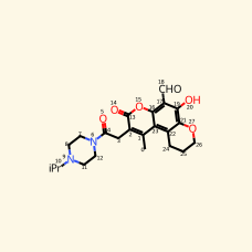 Cc1c(CC(=O)N2CCN(C(C)C)CC2)c(=O)oc2c(C=O)c(O)c3c(c12)CCCO3